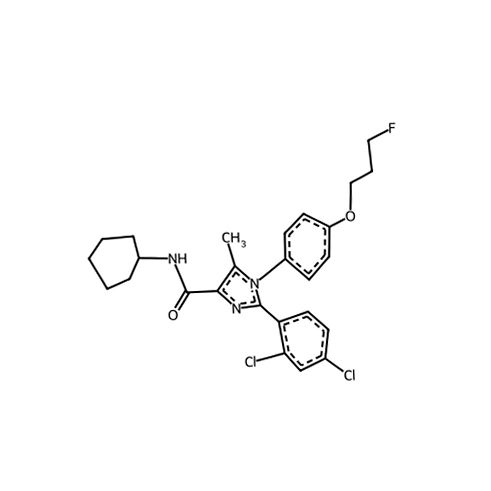 Cc1c(C(=O)NC2CCCCC2)nc(-c2ccc(Cl)cc2Cl)n1-c1ccc(OCCCF)cc1